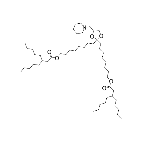 CCCCCC(CCCCC)CC(=O)OCCCCCCCCC1(CCCCCCCCOC(=O)CC(CCCCC)CCCCC)OCC(CN2CCCCC2)O1